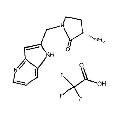 N[C@H]1CCN(Cc2cc3ncccc3[nH]2)C1=O.O=C(O)C(F)(F)F